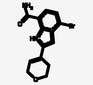 NC(=O)c1ccc(Br)c2cc(C3=CCOCC3)[nH]c12